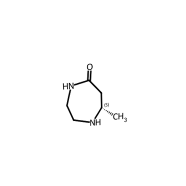 C[C@H]1CC(=O)NCCN1